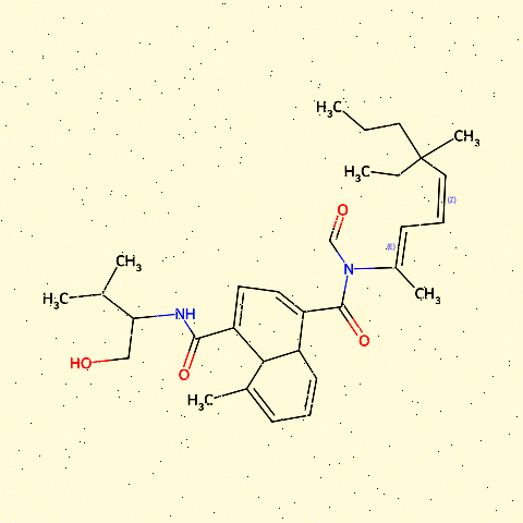 CCCC(C)(/C=C\C=C(/C)N(C=O)C(=O)C1=CC=C(C(=O)NC(CO)C(C)C)C2C(C)=CC=CC12)CC